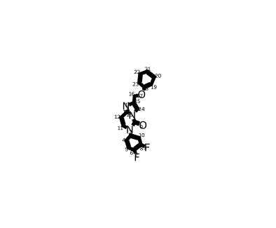 O=c1n(-c2ccc(F)c(F)c2)ccc2nc(COc3ccccc3)cn12